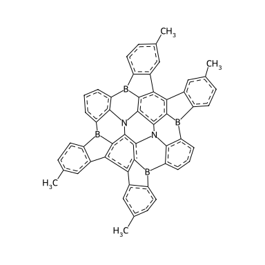 Cc1ccc2c(c1)-c1c3c4c5c6c1-c1cc(C)ccc1B6c1cccc6c1N5c1c5c(c7c8c1N4c1c(cccc1B8c1ccc(C)cc1-7)B23)-c1cc(C)ccc1B65